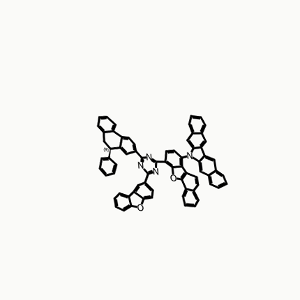 c1ccc([C@H]2Cc3ccccc3-c3ccc(-c4nc(-c5ccc6oc7ccccc7c6c5)nc(-c5ccc(-n6c7cc8ccccc8cc7c7cc8ccccc8cc76)c6c5oc5c7ccccc7ccc56)n4)cc32)cc1